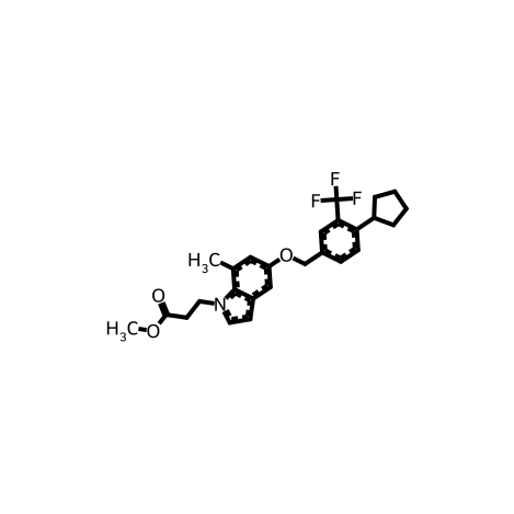 COC(=O)CCn1ccc2cc(OCc3ccc(C4CCCC4)c(C(F)(F)F)c3)cc(C)c21